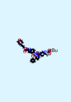 CC(C)(C)OC(=O)N[C@H](CF)[C@H]1CC[C@H](C(=O)N2CC[C@H](c3ccccc3)[C@H]2C(=O)Nc2ccc3[nH]c(C(=O)OCCCN4CCOCC4)cc3c2)CC1